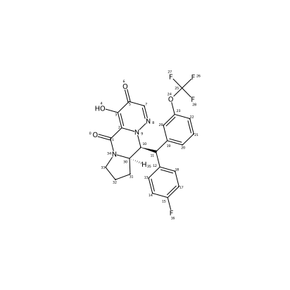 O=C1c2c(O)c(=O)cnn2[C@@H](C(c2ccc(F)cc2)c2cccc(OC(F)(F)F)c2)[C@H]2CCCN12